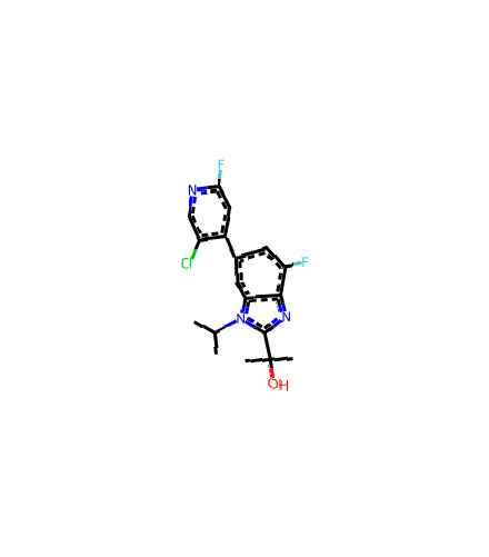 CC(C)n1c(C(C)(C)O)nc2c(F)cc(-c3cc(F)ncc3Cl)cc21